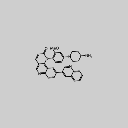 COc1cc(N2CCC(N)CC2)ccc1-n1c(=O)ccc2cnc3ccc(-c4cnc5ccccc5c4)cc3c21